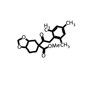 COC(=O)C1(C(=O)Cc2c(C)cc(C)cc2C)CCC2OCOC2C1